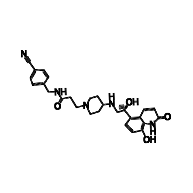 N#Cc1ccc(CNC(=O)CCN2CCC(NC[C@@H](O)c3ccc(O)c4[nH]c(=O)ccc34)CC2)cc1